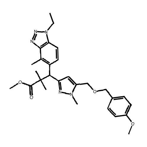 CCn1nnc2c(C)c(C(c3cc(COCc4ccc(OC)cc4)n(C)n3)C(C)(C)C(=O)OC)ccc21